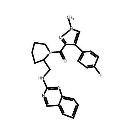 Cn1cc(-c2ccc(F)cc2)c(C(=O)N2CCCCC2CNc2ncc3ccccc3n2)n1